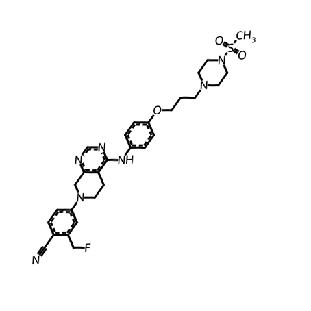 CS(=O)(=O)N1CCN(CCCOc2ccc(Nc3ncnc4c3CCN(c3ccc(C#N)c(CF)c3)C4)cc2)CC1